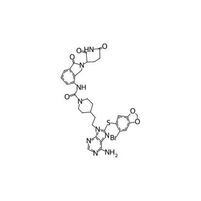 Nc1ncnc2c1nc(Sc1cc3c(cc1Br)OCO3)n2CCC1CCN(C(=O)Nc2cccc3c2CN(C2CCC(=O)NC2=O)C3=O)CC1